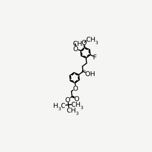 COc1cc(F)c(CC[C@@H](O)c2cccc(OCC(=O)OC(C)(C)C)c2)cc1OC